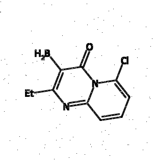 Bc1c(CC)nc2cccc(Cl)n2c1=O